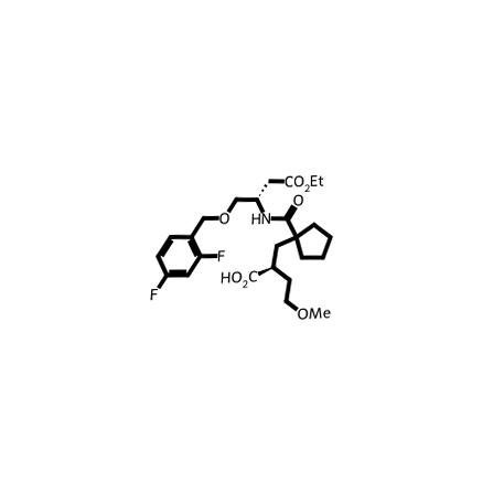 CCOC(=O)C[C@@H](COCc1ccc(F)cc1F)NC(=O)C1(C[C@@H](CCOC)C(=O)O)CCCC1